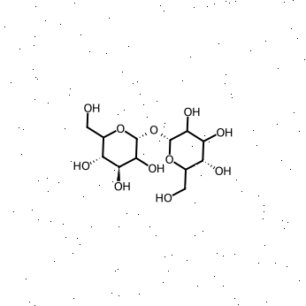 OCC1O[C@H](O[C@H]2OC(CO)[C@@H](O)[C@H](O)C2O)C(O)C(O)[C@@H]1O